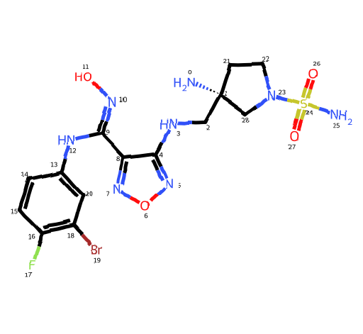 N[C@]1(CNc2nonc2/C(=N/O)Nc2ccc(F)c(Br)c2)CCN(S(N)(=O)=O)C1